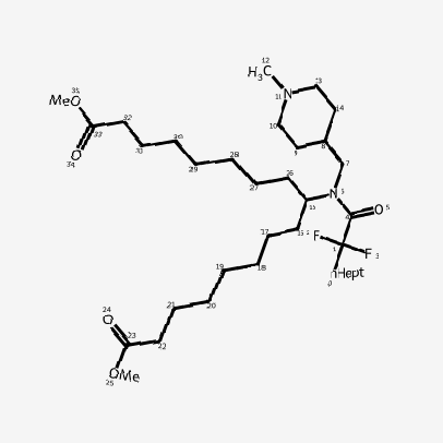 CCCCCCCC(F)(F)C(=O)N(CC1CCN(C)CC1)C(CCCCCCCC(=O)OC)CCCCCCCC(=O)OC